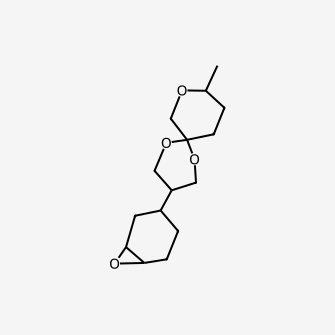 CC1CCC2(CO1)OCC(C1CCC3OC3C1)CO2